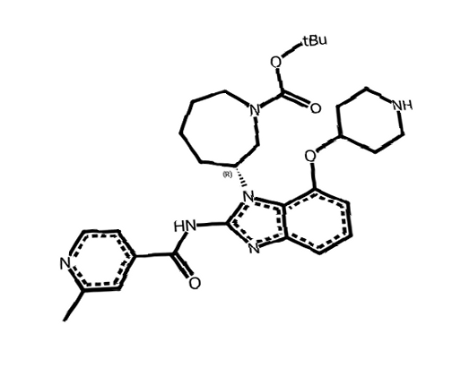 Cc1cc(C(=O)Nc2nc3cccc(OC4CCNCC4)c3n2[C@@H]2CCCCN(C(=O)OC(C)(C)C)C2)ccn1